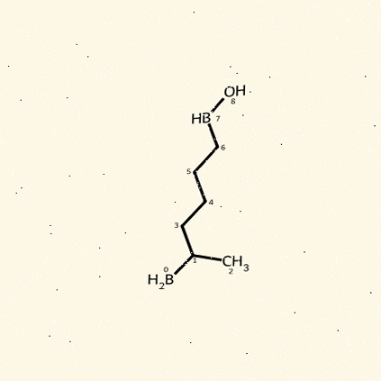 BC(C)CCCCBO